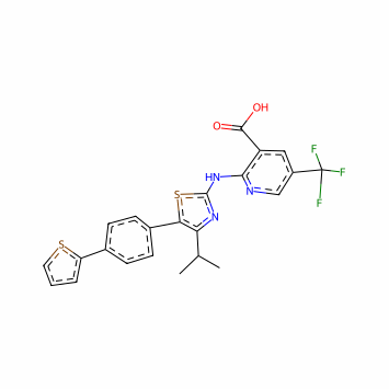 CC(C)c1nc(Nc2ncc(C(F)(F)F)cc2C(=O)O)sc1-c1ccc(-c2cccs2)cc1